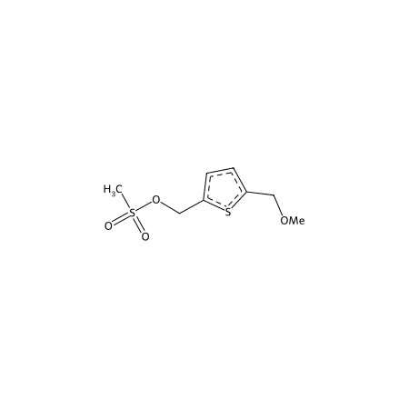 COCc1ccc(COS(C)(=O)=O)s1